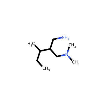 CCC(C)C(CN)CN(C)C